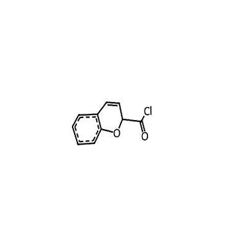 O=C(Cl)C1C=Cc2ccccc2O1